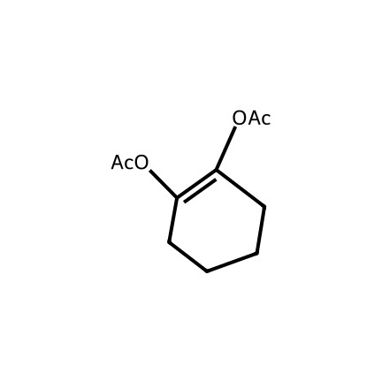 CC(=O)OC1=C(OC(C)=O)CCCC1